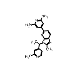 Cc1cc([C@@H](C)n2c(C)nc3ccc(-c4cc(N)nc(N)c4)nc32)ccn1